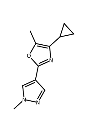 Cc1oc(-c2cnn(C)c2)nc1C1CC1